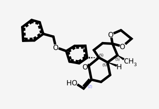 C[C@H]1[C@@H]2CC/C(=C/O)C(=O)[C@@]2(c2ccc(OCc3ccccc3)cc2)CCC12OCCO2